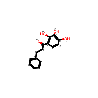 O=C(CCc1ccccc1)c1ccc(O)c(O)c1O